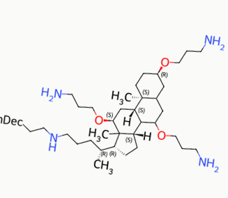 CCCCCCCCCCCCNCCC[C@@H](C)[C@H]1CC[C@H]2C3C(OCCCN)CC4C[C@H](OCCCN)CC[C@]4(C)[C@H]3C[C@H](OCCCN)C12C